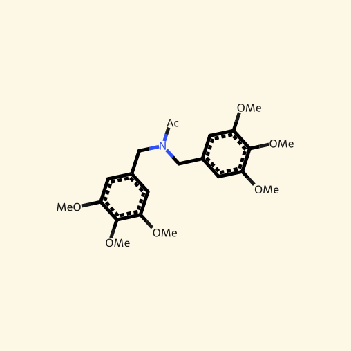 COc1cc(CN(Cc2cc(OC)c(OC)c(OC)c2)C(C)=O)cc(OC)c1OC